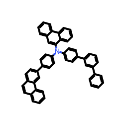 c1ccc(-c2cccc(-c3ccc(N(c4ccc(-c5ccc6ccc7ccccc7c6c5)cc4)c4cc5ccccc5c5ccccc45)cc3)c2)cc1